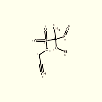 C#CCOS(=O)(=O)C(C)(OCC)P=O